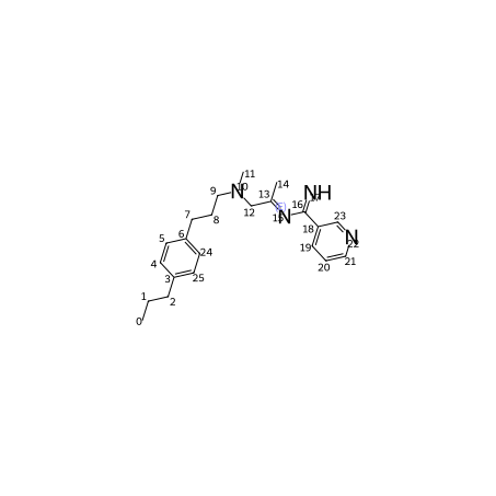 CCCc1ccc(CCCN(C)C/C(C)=N/C(=N)c2cccnc2)cc1